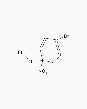 CCOC1([N+](=O)[O-])C=CC(Br)=CC1